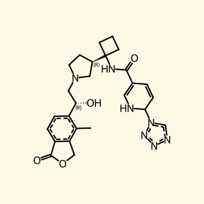 Cc1c([C@@H](O)CN2CC[C@@H](C3(NC(=O)C4=CNC(n5cnnn5)C=C4)CCC3)C2)ccc2c1COC2=O